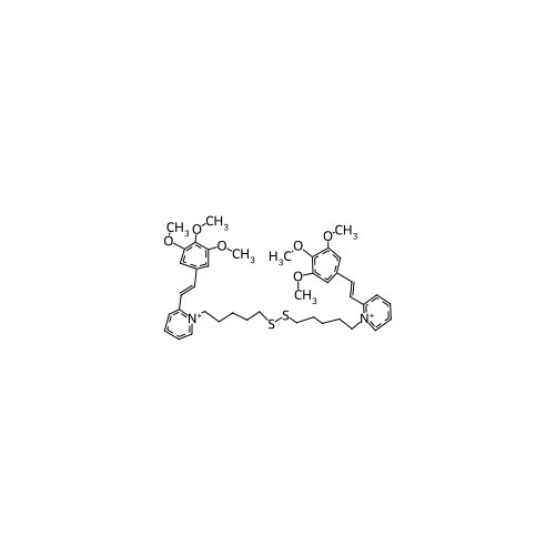 COc1cc(/C=C/c2cccc[n+]2CCCCCSSCCCCC[n+]2ccccc2/C=C/c2cc(OC)c(OC)c(OC)c2)cc(OC)c1OC